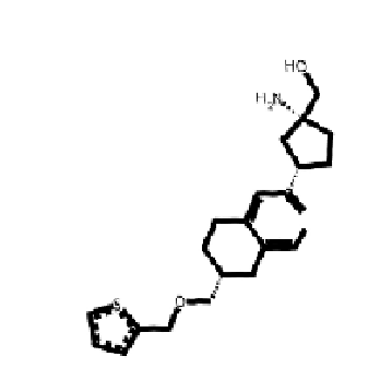 C=C(/C=C1/CC[C@@H](COCc2cccs2)C/C1=C/C)[C@H]1CC[C@](N)(CO)C1